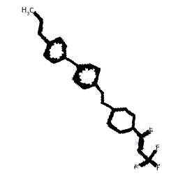 CCCc1ccc(-c2ccc(CCC3CCC(/C(F)=C/C(F)(F)F)CC3)cc2)cc1